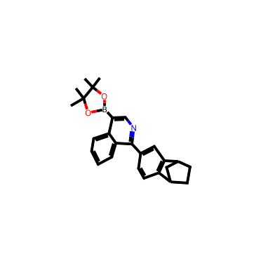 CC1(C)OB(c2cnc(-c3ccc4c(c3)C3CCC4C3)c3ccccc23)OC1(C)C